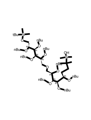 CCCCO[C@@H]([C@H](OCCCC)[C@@H](COC[C@@H](OCCCC)[C@@H](OCCCC)[C@H](OCCCC)[C@@H](CO[Si](C)(C)C(C)(C)C)OCCCC)OCCCC)[C@@H](CCC(C)(C)[Si](C)(C)O)OCCCC